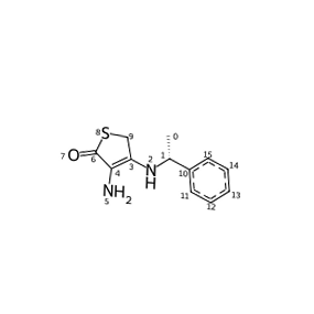 C[C@@H](NC1=C(N)C(=O)SC1)c1ccccc1